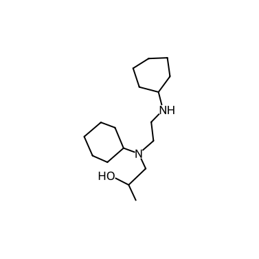 CC(O)CN(CCNC1CCCCC1)C1CCCCC1